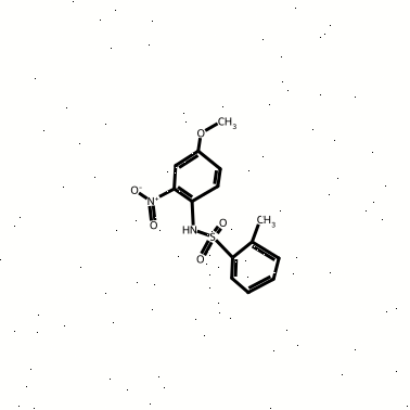 COc1ccc(NS(=O)(=O)c2ccccc2C)c([N+](=O)[O-])c1